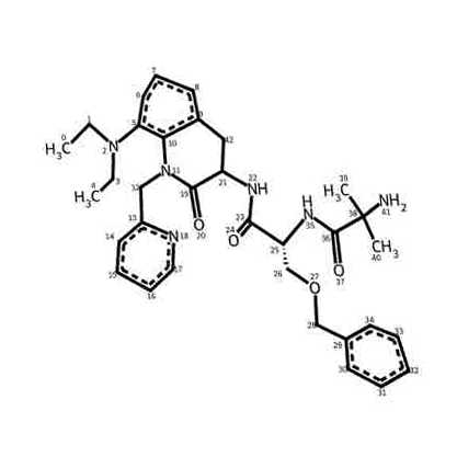 CCN(CC)c1cccc2c1N(Cc1ccccn1)C(=O)C(NC(=O)[C@@H](COCc1ccccc1)NC(=O)C(C)(C)N)C2